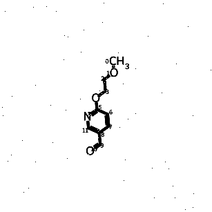 COCCOc1ccc(C=O)cn1